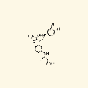 CCCCCCCCCCCC(=O)Nc1cccc(C(CNc2ccc(Cl)c(O)c2)S(N)(=O)=O)c1